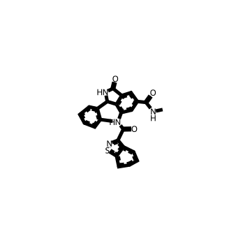 CNC(=O)c1cc(NC(=O)c2nsc3ccccc23)c2c(c1)C(=O)NC2c1ccccc1C